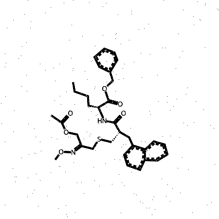 CCCC[C@H](NC(=O)[C@@H](CSC/C(COC(C)=O)=N/OC)Cc1cccc2ccccc12)C(=O)OCc1ccccc1